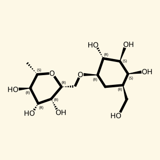 C[C@@H]1O[C@H](CO[C@@H]2C[C@H](CO)[C@H](O)[C@H](O)[C@H]2O)[C@H](O)[C@H](O)[C@H]1O